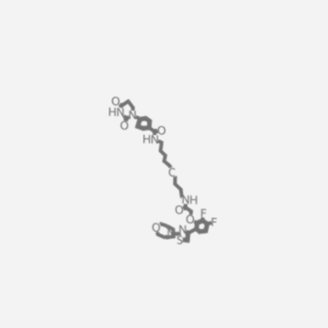 O=C(COc1c(-c2csc(N3C4CCC3COC4)n2)ccc(F)c1F)NCCCCCCCCCCNC(=O)c1ccc(N2CCC(=O)NC2=O)cc1